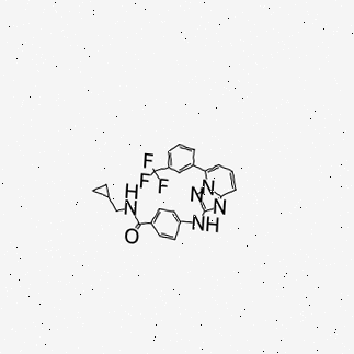 O=C(NCC1CC1)c1ccc(Nc2nc3cccc(-c4cccc(C(F)(F)F)c4)n3n2)cc1